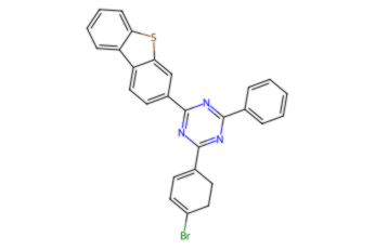 BrC1=CC=C(c2nc(-c3ccccc3)nc(-c3ccc4c(c3)sc3ccccc34)n2)CC1